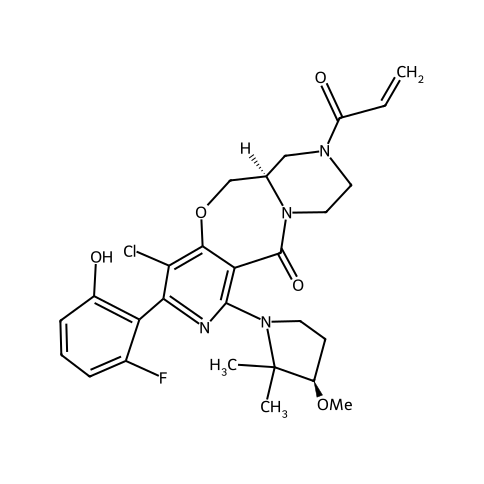 C=CC(=O)N1CCN2C(=O)c3c(N4CC[C@@H](OC)C4(C)C)nc(-c4c(O)cccc4F)c(Cl)c3OC[C@H]2C1